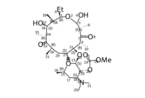 CC[C@H]1OC(O)[C@H](C)C(=O)[C@H](C)[C@@H](O[C@@H]2O[C@H](C)C[C@H](N(C)C)[C@H]2OC(=O)OC)[C@@H](C)C[C@@H](C)C(=O)[C@H](C)[C@@H](O)[C@H]1C